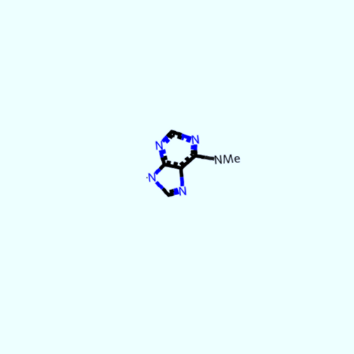 CNc1ncnc2c1N=C[N]2